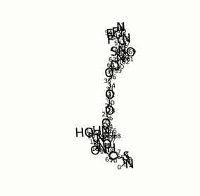 Cc1ncsc1-c1ccc(CNC(=O)[C@@H]2C[C@@H](O)CN2C(=O)[C@@H](NCOCCOCCCOCCCCOc2ccc(N3C(=S)N(c4cnc(C#N)c(C(F)(F)F)c4)C(=O)C3(C)C)cc2)C(C)(C)C)cc1